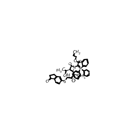 C=CCOC(=O)C(N1C(=O)[C@H](C(C)O)[C@H]1[C@@H](C)C(=O)CSc1ccc2c(c1)CCC2=O)=P(c1ccccc1)(c1ccccc1)c1ccccc1